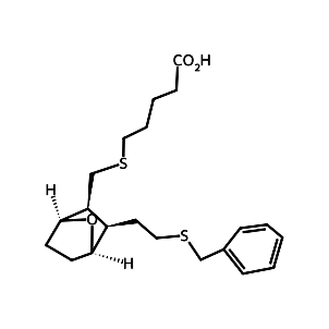 O=C(O)CCCCSC[C@H]1[C@@H](CCSCc2ccccc2)[C@H]2CC[C@@H]1O2